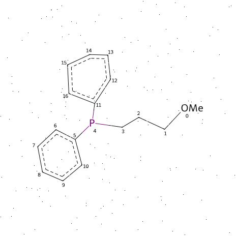 COCCCP(c1ccccc1)c1ccccc1